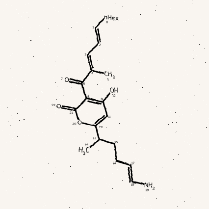 CCCCCC/C=C/C=C(\C)C(=O)c1c(O)cc(C(C)CC/C=C/N)oc1=O